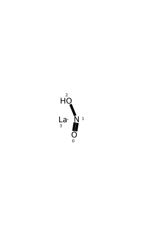 O=NO.[La]